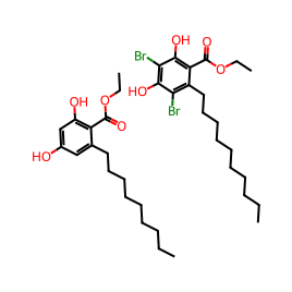 CCCCCCCCCCc1c(Br)c(O)c(Br)c(O)c1C(=O)OCC.CCCCCCCCCc1cc(O)cc(O)c1C(=O)OCC